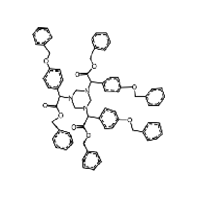 O=C(OCc1ccccc1)C(c1ccc(OCc2ccccc2)cc1)N1CN(C(C(=O)OCc2ccccc2)c2ccc(OCc3ccccc3)cc2)CN(C(C(=O)OCc2ccccc2)c2ccc(OCc3ccccc3)cc2)C1